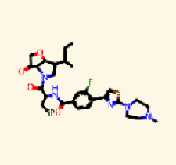 CC=C(C)C1CN(C(=O)C(CC(C)C)NC(=O)c2ccc(-c3csc(N4CCN(C)CC4)n3)c(F)c2)C2C(=O)COC12